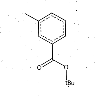 [CH2]c1cccc(C(=O)OC(C)(C)C)c1